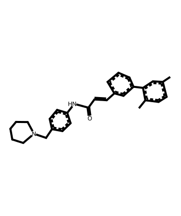 Cc1ccc(C)c(-c2cccc(/C=C/C(=O)Nc3ccc(CN4CCCCC4)cc3)c2)c1